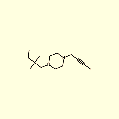 CC#CCN1CCN(CC(C)(C)CC)CC1